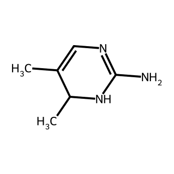 CC1=CN=C(N)NC1C